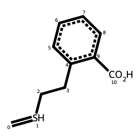 C=[SH]CCc1ccccc1C(=O)O